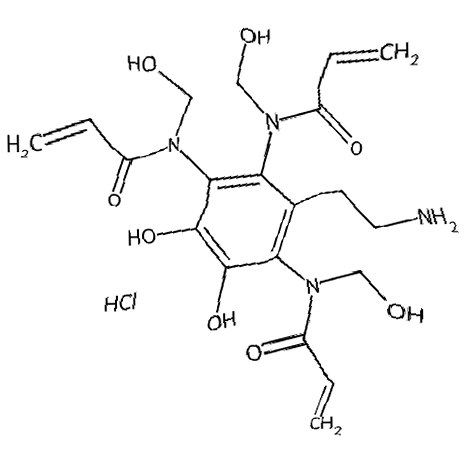 C=CC(=O)N(CO)c1c(O)c(O)c(N(CO)C(=O)C=C)c(N(CO)C(=O)C=C)c1CCN.Cl